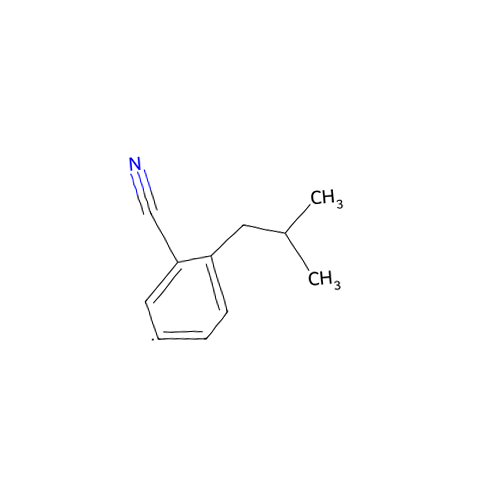 CC(C)Cc1cc[c]cc1C#N